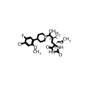 COC[C@]1(C[C@H](C)C(O)N2CCC(c3cc(F)c(Cl)cc3OC)CC2)NC(=O)NC1=O